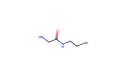 CCCCCNC(=O)C[NH]